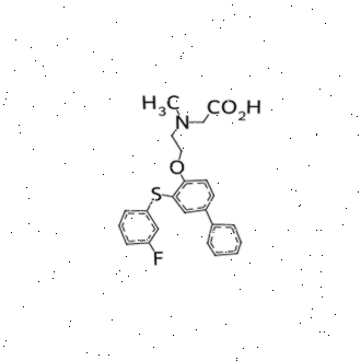 CN(CCOc1ccc(-c2ccccc2)cc1Sc1cccc(F)c1)CC(=O)O